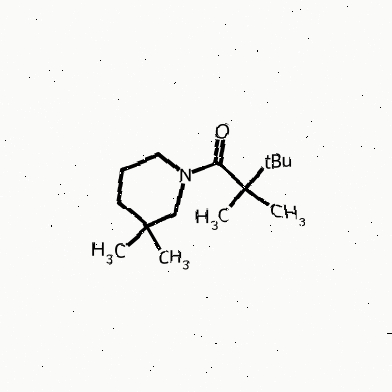 CC1(C)CCCN(C(=O)C(C)(C)C(C)(C)C)C1